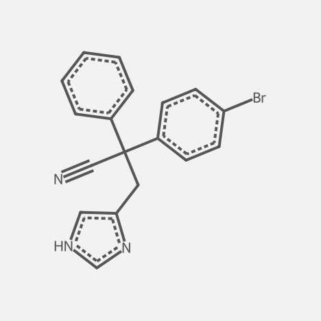 N#CC(Cc1c[nH]cn1)(c1ccccc1)c1ccc(Br)cc1